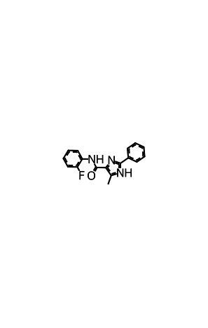 Cc1[nH]c(-c2ccccc2)nc1C(=O)Nc1ccccc1F